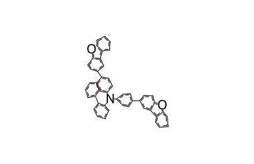 c1ccc(-c2ccccc2N(c2ccc(-c3ccc4oc5ccccc5c4c3)cc2)c2ccc(-c3ccc4oc5ccccc5c4c3)cc2)cc1